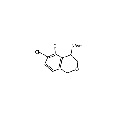 CNC1COCc2ccc(Cl)c(Cl)c21